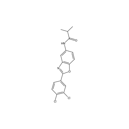 CC(C)C(=O)Nc1ccc2oc(-c3ccc(Cl)c(Cl)c3)nc2c1